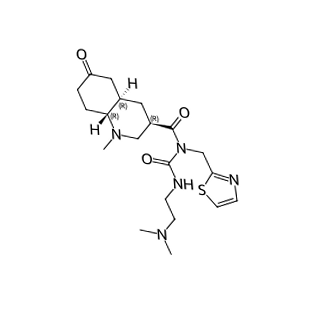 CN(C)CCNC(=O)N(Cc1nccs1)C(=O)[C@@H]1C[C@@H]2CC(=O)CC[C@H]2N(C)C1